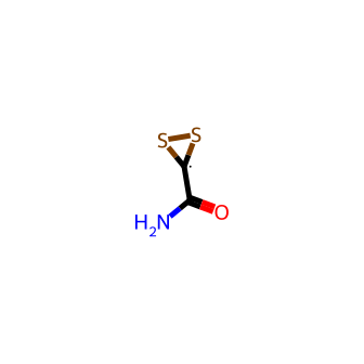 NC(=O)[C]1SS1